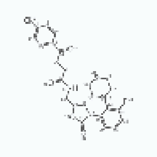 O=C(CCC(=O)c1ccc(Cl)cc1)NCC1CN(c2cccc(F)c2N2CCSCC2)C(=O)O1